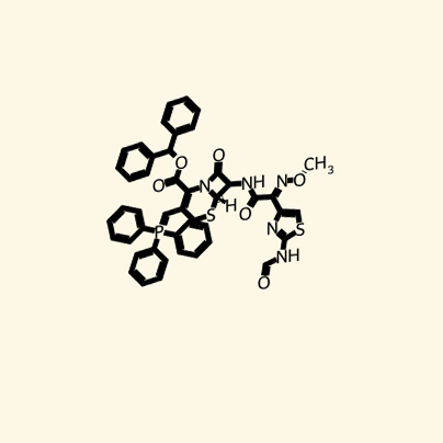 CON=C(C(=O)NC1C(=O)N2C(C(=O)OC(c3ccccc3)c3ccccc3)=C(C=P(c3ccccc3)(c3ccccc3)c3ccccc3)CS[C@@H]12)c1csc(NC=O)n1